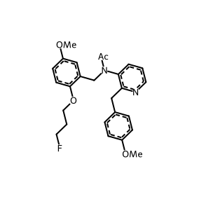 COc1ccc(Cc2ncccc2N(Cc2cc(OC)ccc2OCCCF)C(C)=O)cc1